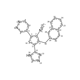 [C-]#[N+]c1c(-c2ccnnc2)sc(-c2nnc[nH]2)c1Cc1ccc2ccccc2c1